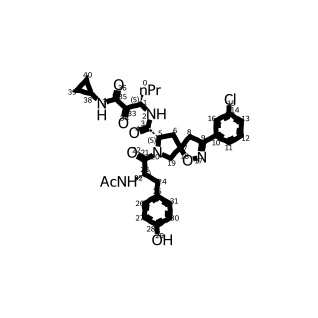 CCC[C@H](NC(=O)[C@@H]1CC2(CC(c3cccc(Cl)c3)=NO2)CN1C(=O)[C@H](Cc1ccc(O)cc1)NC(C)=O)C(=O)C(=O)NC1CC1